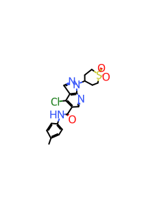 Cc1ccc(NC(=O)c2cnc3c(cnn3C3CCS(=O)(=O)CC3)c2Cl)cc1